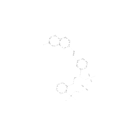 CC(O)(COS(C)(=O)=O)c1ccccc1CC[C@H](OS(C)(=O)=O)c1cccc(C=Cc2ccc3ccc(Cl)cc3n2)c1